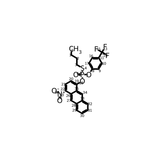 CCCCSP(=O)(Oc1ccc(C(F)(F)F)cc1)Oc1ccc([N+](=O)[O-])c2cc3ccccc3cc12